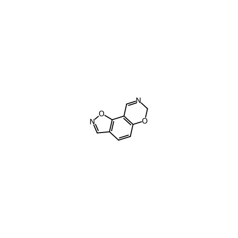 C1=NCOc2ccc3cnoc3c21